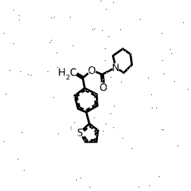 C=C(OC(=O)N1CCCCC1)c1ccc(-c2cccs2)cc1